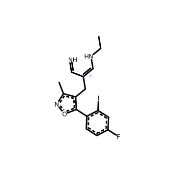 CCN/C=C(\C=N)Cc1c(C)noc1-c1ccc(F)cc1I